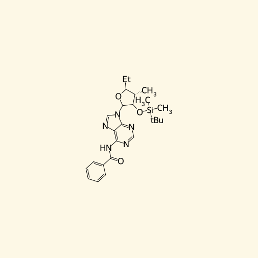 CCC1OC(n2cnc3c(NC(=O)c4ccccc4)ncnc32)C(O[Si](C)(C)C(C)(C)C)[C@H]1C